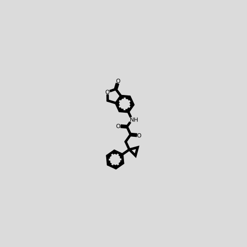 O=C(CC1(c2ccccc2)CC1)C(=O)Nc1ccc2c(c1)COC2=O